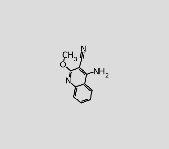 COc1nc2ccccc2c(N)c1C#N